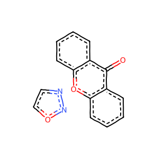 O=c1c2ccccc2oc2ccccc12.c1conn1